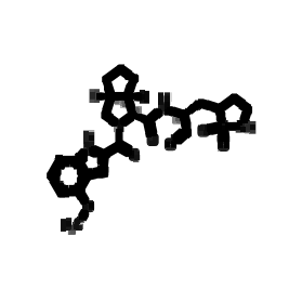 COc1cccc2[nH]c(C(=O)N3C[C@@H]4CCC[C@@H]4[C@H]3C(=O)N[C@H](C=O)CC3CCNS3(=O)=O)cc12